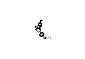 C=Cc1ccc2c(c1)NC(=O)C2=CNc1ccc(NC(C)=O)cc1